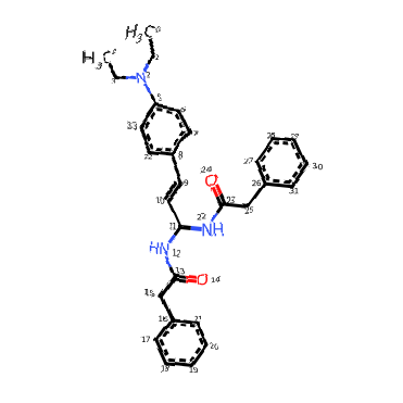 CCN(CC)c1ccc(/C=C/C(NC(=O)Cc2ccccc2)NC(=O)Cc2ccccc2)cc1